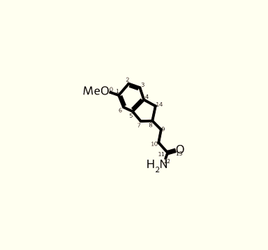 COc1ccc2c(c1)CC(CCC(N)=O)C2